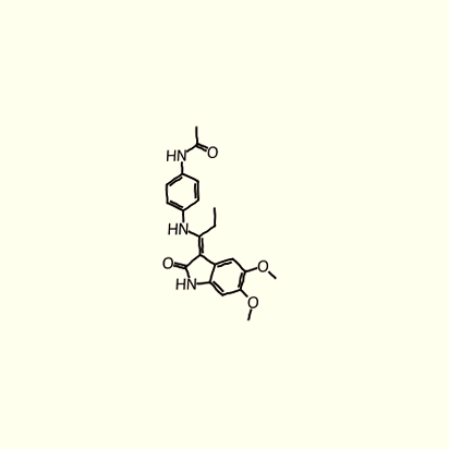 CC/C(Nc1ccc(NC(C)=O)cc1)=C1/C(=O)Nc2cc(OC)c(OC)cc21